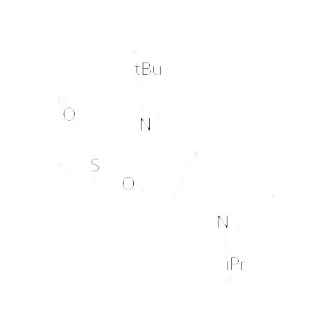 CC(C)N(C)CCN(C(C)(C)C)S(C)(=O)=O